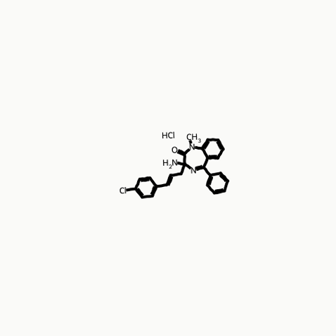 CN1C(=O)C(N)(CC=Cc2ccc(Cl)cc2)N=C(c2ccccc2)c2ccccc21.Cl